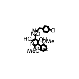 CCCCCc1nc(O)c(-c2nnc(Cc3ccc(Cl)cc3)o2)c(O)c1-c1c(OC)cccc1OC